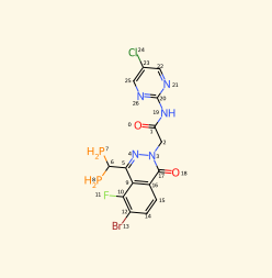 O=C(Cn1nc(C(P)P)c2c(F)c(Br)ccc2c1=O)Nc1ncc(Cl)cn1